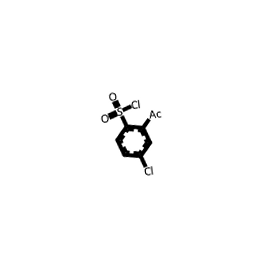 CC(=O)c1cc(Cl)ccc1S(=O)(=O)Cl